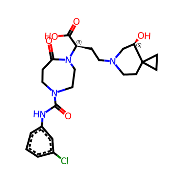 O=C(O)[C@@H](CCN1CCC2(CC2)[C@H](O)C1)N1CCN(C(=O)Nc2cccc(Cl)c2)CCC1=O